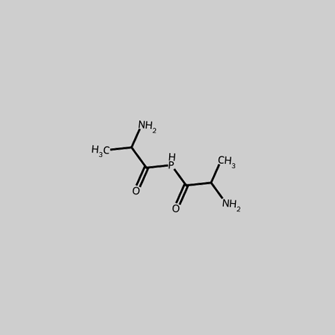 CC(N)C(=O)PC(=O)C(C)N